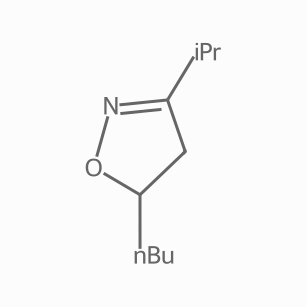 CCCCC1CC(C(C)C)=NO1